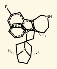 Cc1nc2cc(F)ccc2n1C1C[C@H]2CC[C@@H](C1)N2CCC1(c2ccccc2)CCNCC1